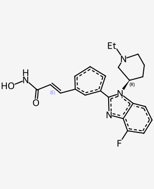 CCN1CCC[C@@H](n2c(-c3cccc(/C=C/C(=O)NO)c3)nc3c(F)cccc32)C1